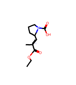 CCOC(=O)/C(C)=C/C1CCCN1C(=O)O